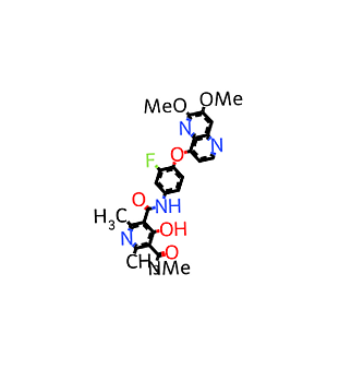 CNC(=O)c1c(C)nc(C)c(C(=O)Nc2ccc(Oc3ccnc4cc(OC)c(OC)nc34)c(F)c2)c1O